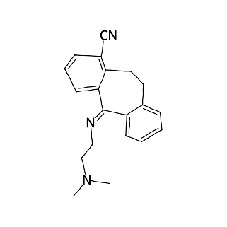 CN(C)CC/N=C1\c2ccccc2CCc2c(C#N)cccc21